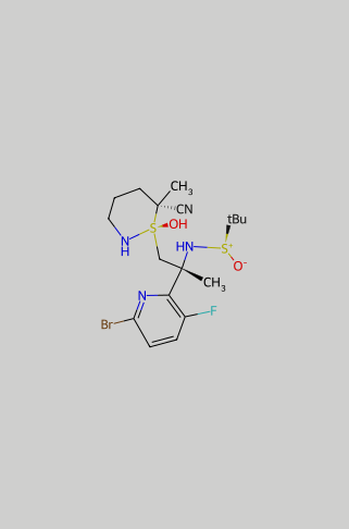 CC(C)(C)[S@@+]([O-])N[C@@](C)(C[S@]1(O)NCCC[C@]1(C)C#N)c1nc(Br)ccc1F